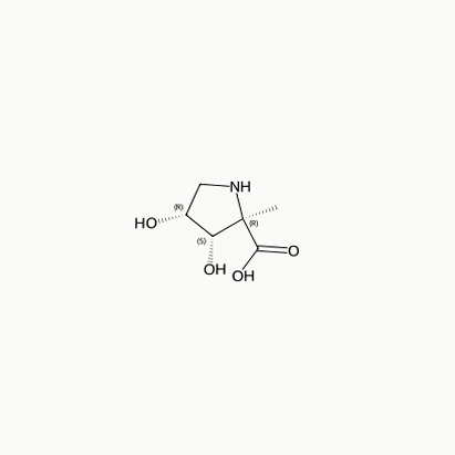 C[C@@]1(C(=O)O)NC[C@@H](O)[C@H]1O